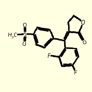 CS(=O)(=O)c1ccc(/C(=C2\CCOC2=O)c2ccc(F)cc2F)cc1